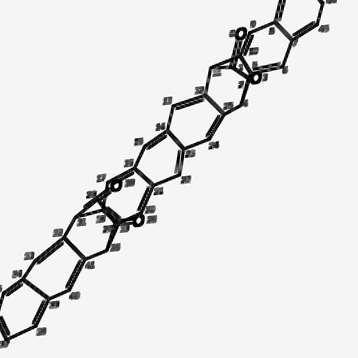 O=C1C(=O)C2c3cc4c(cc3C1c1cc3cc5cc6c(cc5cc3cc12)C1C(=O)C(=O)C6c2cc3ccccc3cc21)=CCCC=4